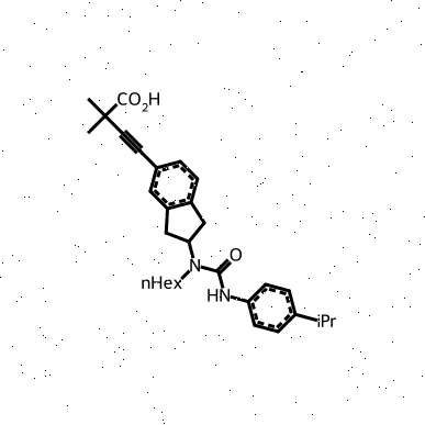 CCCCCCN(C(=O)Nc1ccc(C(C)C)cc1)C1Cc2ccc(C#CC(C)(C)C(=O)O)cc2C1